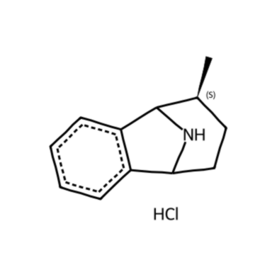 C[C@H]1CCC2NC1c1ccccc12.Cl